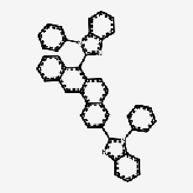 c1ccc(-n2c(-c3ccc4c(ccc5c(-c6nc7ccccc7n6-c6ccccc6)c6ccccc6cc54)c3)nc3ccccc32)cc1